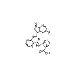 O=C(O)C1C2CCC(CC2)C1Nc1nc(-c2c[nH]c3ncc(F)cc23)nc2nccnc12